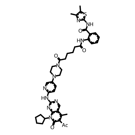 CC(=O)c1c(C)c2cnc(Nc3ccc(N4CCN(C(=O)CCCCC(=O)Nc5ccccc5C(=O)Nc5nc(C)c(C)s5)CC4)cn3)nc2n(C2CCCC2)c1=O